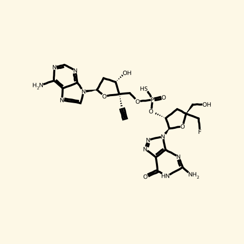 C#C[C@]1(COP(=O)(S)O[C@@H]2C[C@](CO)(CF)O[C@H]2n2nnc3c(=O)[nH]c(N)nc32)O[C@@H](n2cnc3c(N)ncnc32)C[C@@H]1O